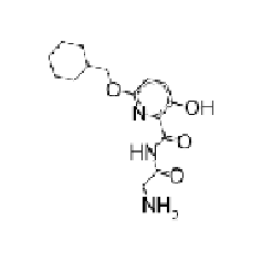 NCC(=O)NC(=O)c1nc(OCC2CCCCC2)ccc1O